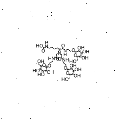 O=C(O)NCCCC[C@@H](C(=O)NCCO[C@H]1O[C@H](CO)[C@@H](O)[C@H](O)[C@@H]1O)N(CC(=O)NCCO[C@H]1O[C@H](CO)[C@@H](O)[C@H](O)[C@@H]1O)CC(=O)NCCO[C@@H]1O[C@@H](CO)[C@H](O)[C@@H](O)[C@H]1O